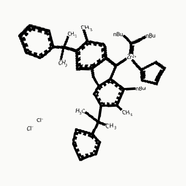 CCCC[C](CCCC)=[Zr+2]([C]1=CC=CC1)[CH]1c2cc(C)c(C(C)(C)c3ccccc3)cc2-c2cc(C(C)(C)c3ccccc3)c(C)c(CCCC)c21.[Cl-].[Cl-]